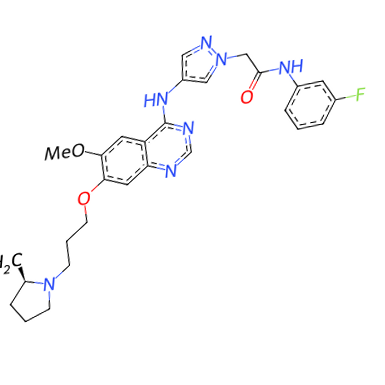 [CH2][C@@H]1CCCN1CCCOc1cc2ncnc(Nc3cnn(CC(=O)Nc4cccc(F)c4)c3)c2cc1OC